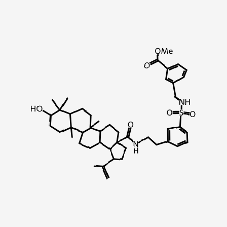 C=C(C)C1CCC2(C(=O)NCCc3cccc(S(=O)(=O)NCc4cccc(C(=O)OC)c4)c3)CCC3C(CCC4C3(C)CCC3C(C)(C)C(O)CCC34C)C12